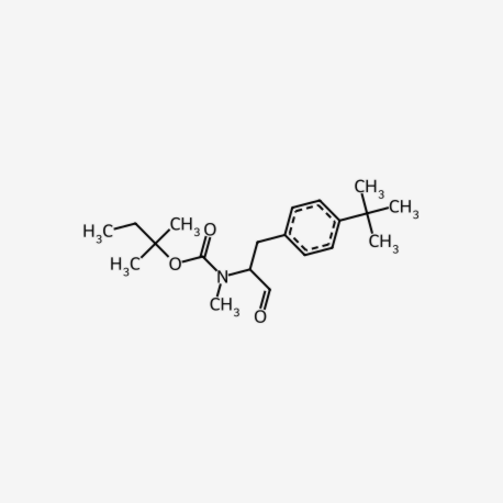 CCC(C)(C)OC(=O)N(C)C(C=O)Cc1ccc(C(C)(C)C)cc1